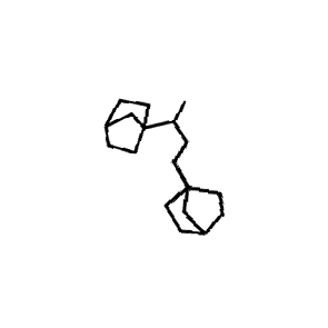 CC(CCC12CCC(CC1)C2)C12CCC(CC1)C2